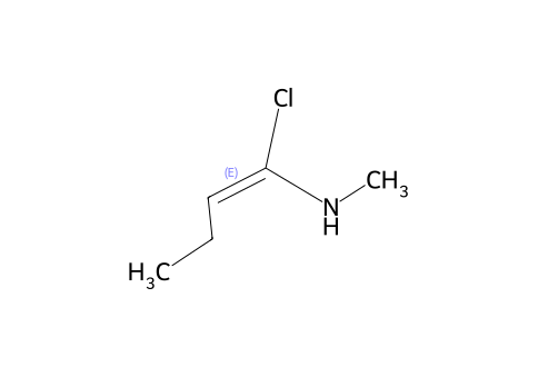 CC/C=C(/Cl)NC